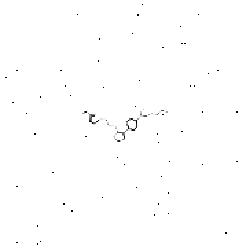 CCCCC[C@H](O)c1ccc(C2=CCCC2CCCc2ccc(C(=O)O)s2)cc1